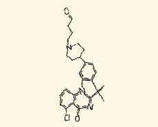 CC1(C)c2ccc(C3CCN(CCCC=O)CC3)cc2-n2c1nc(=O)c1c(Cl)cccc12